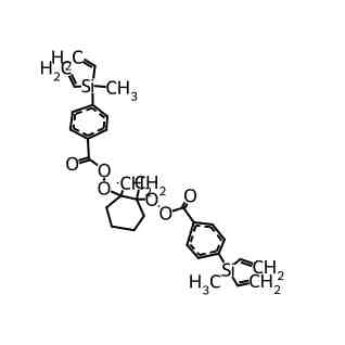 [CH2]C1(OOC(=O)c2ccc([Si](C)(C=C)C=C)cc2)CCCCC1([CH2])OOC(=O)c1ccc([Si](C)(C=C)C=C)cc1